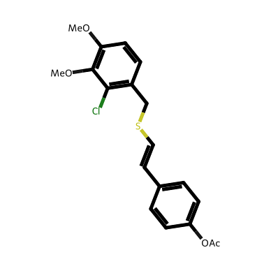 COc1ccc(CSC=Cc2ccc(OC(C)=O)cc2)c(Cl)c1OC